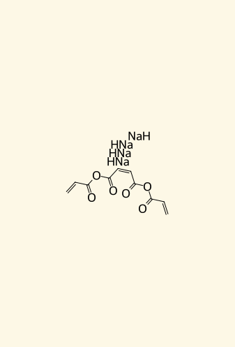 C=CC(=O)OC(=O)/C=C\C(=O)OC(=O)C=C.[NaH].[NaH].[NaH].[NaH]